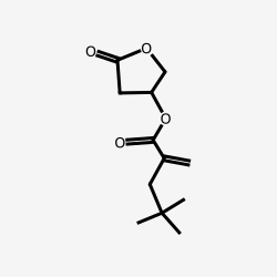 C=C(CC(C)(C)C)C(=O)OC1COC(=O)C1